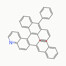 c1ccc(-c2c3ccccc3c(-c3c(-c4ccc5ccccc5c4)ccc4ncccc34)c3ccccc23)cc1